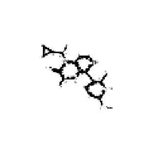 COc1ccc(-c2nccc3c2nc(C)c(=O)n3[C@H](C)C2CC2)c(C)n1